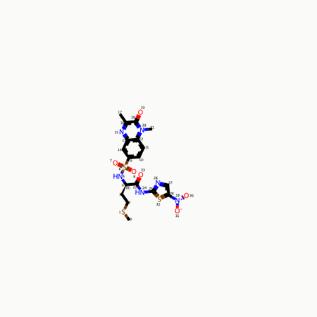 CSCC[C@@H](NS(=O)(=O)c1ccc2c(c1)nc(C)c(=O)n2C)C(=O)Nc1ncc([N+](=O)[O-])s1